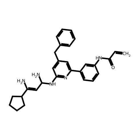 C=CC(=O)Nc1cccc(-c2cc(Cc3ccccc3)cc(NC(N)/C=C(\N)C3CCCC3)n2)c1